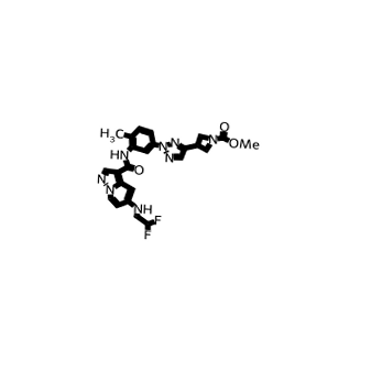 COC(=O)N1CC(c2cnn(-c3ccc(C)c(NC(=O)c4cnn5ccc(NCC(F)F)cc45)c3)n2)C1